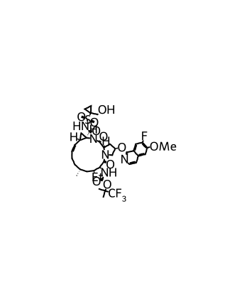 CC[C@@H]1C[C@H](C)CC/C=C\[C@@H]2C[C@@]2(C(=O)NS(=O)(=O)C2(CO)CC2)NC(=O)[C@@H]2C[C@@H](Oc3nccc4cc(OC)c(F)cc34)CN2C(=O)[C@H]1NC(=O)OC(C)(C)C(F)(F)F